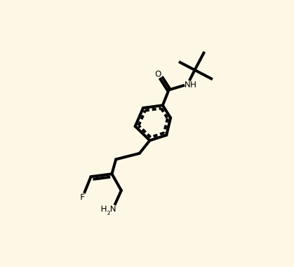 CC(C)(C)NC(=O)c1ccc(CC/C(=C/F)CN)cc1